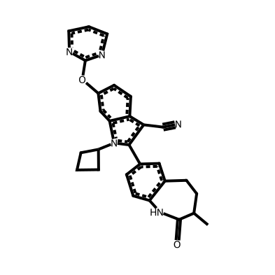 CC1CCc2cc(-c3c(C#N)c4ccc(Oc5ncccn5)cc4n3C3CCC3)ccc2NC1=O